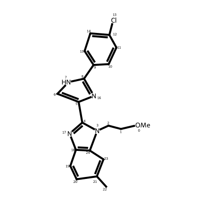 COCCn1c(-c2c[nH]c(-c3ccc(Cl)cc3)n2)nc2ccc(C)cc21